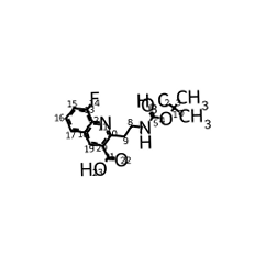 CC(C)(C)OC(=O)NCCc1nc2c(F)cccc2cc1C(=O)O